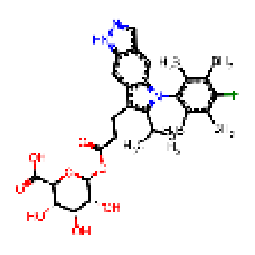 Bc1c(B)c(-n2c(C(C)C)c(CCC(=O)O[C@@H]3O[C@H](C(=O)O)[C@@H](O)[C@H](O)[C@H]3O)c3cc4[nH]ncc4cc32)c(B)c(B)c1F